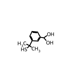 CC(C)(S)c1cccc(C(O)O)c1